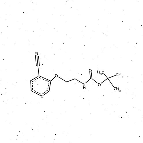 CC(C)(C)OC(=O)NCCOc1cnccc1C#N